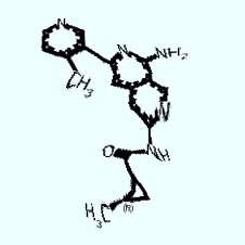 Cc1ccncc1-c1cc2cc(NC(=O)C3C[C@H]3C)ncc2c(N)n1